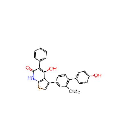 COc1cc(-c2csc3[nH]c(=O)c(-c4ccccc4)c(O)c23)ccc1-c1ccc(O)cc1